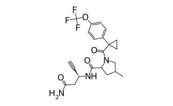 C#C[C@H](CC(N)=O)NC(=O)C1CC(C)CN1C(=O)C1(c2ccc(OC(F)(F)F)cc2)CC1